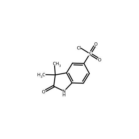 CC1(C)C(=O)Nc2ccc(S(=O)(=O)Cl)cc21